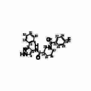 O=C(Nc1c[nH]nc1-c1ccccc1)C1CCCN(C(=O)c2ccc(F)cc2)C1